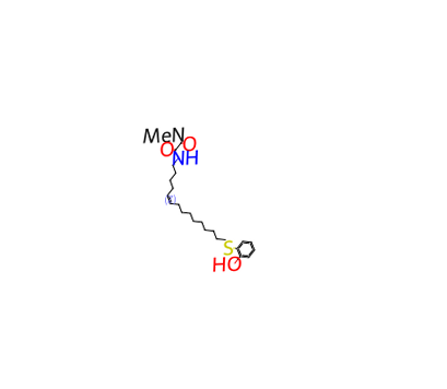 CNC(=O)C(=O)NCCCC/C=C\CCCCCCCCCSc1ccccc1O